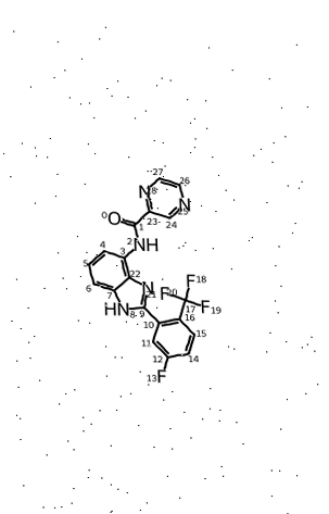 O=C(Nc1cccc2[nH]c(-c3cc(F)ccc3C(F)(F)F)nc12)c1cnccn1